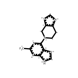 FC(F)(F)c1nc(N2CCc3ncsc3C2)c2nc[nH]c2n1